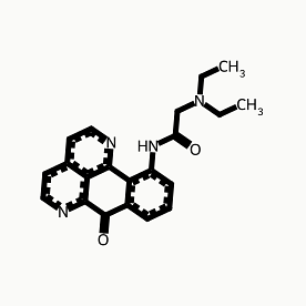 CCN(CC)CC(=O)Nc1cccc2c1-c1nccc3ccnc(c13)C2=O